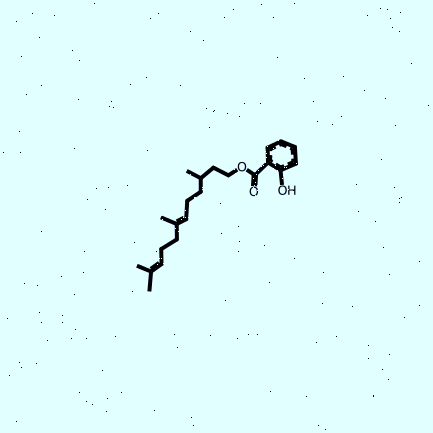 CC(C)=CCC/C(C)=C/CCC(C)CCOC(=O)c1ccccc1O